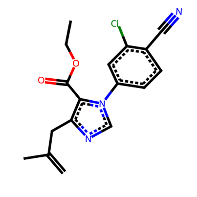 C=C(C)Cc1ncn(-c2ccc(C#N)c(Cl)c2)c1C(=O)OCC